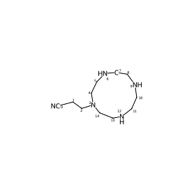 N#CCCN1CCNCCNCCNCC1